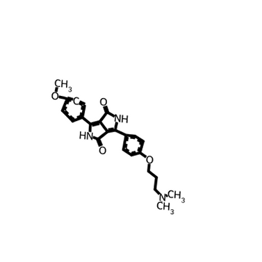 COc1ccc(C2=C3C(=O)NC(c4ccc(OCCCN(C)C)cc4)=C3C(=O)N2)cc1